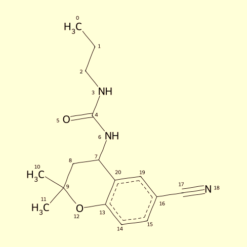 CCCNC(=O)NC1CC(C)(C)Oc2ccc(C#N)cc21